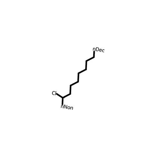 CCCCCCCCCCCCCCCCC[C](Cl)CCCCCCCCC